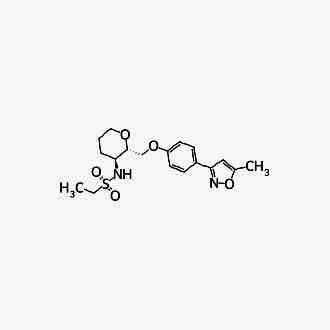 CCS(=O)(=O)N[C@H]1CCCO[C@@H]1COc1ccc(-c2cc(C)on2)cc1